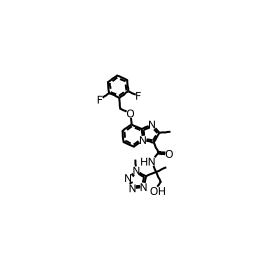 Cc1nc2c(OCc3c(F)cccc3F)cccn2c1C(=O)NC(C)(CO)c1nnnn1C